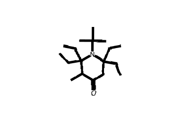 CCC1(CC)CC(=O)C(C)C(CC)(CC)N1C(C)(C)C